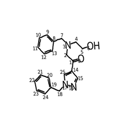 O=C(CN(CCO)Cc1ccccc1)c1cnn(Cc2ccccc2)c1